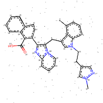 Cc1cccc2c1c(Cc1c(-c3ccc4ccccc4c3C(=O)O)nc3ccccn13)cn2CCc1cnn(C)c1